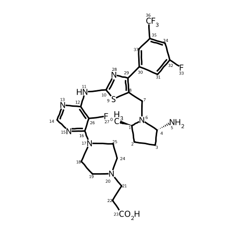 C[C@@H]1CC[C@@H](N)N1Cc1sc(Nc2ncnc(N3CCN(CCC(=O)O)CC3)c2F)nc1-c1cc(F)cc(C(F)(F)F)c1